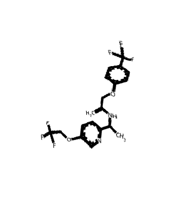 C=C(COc1ccc(C(F)(F)F)cc1)NC(C)c1ccc(OCC(F)(F)F)cn1